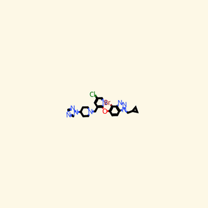 Clc1cnc(Oc2ccc3c(nnn3CC3CC3)c2Br)c(CN2CCC(n3cncn3)CC2)c1